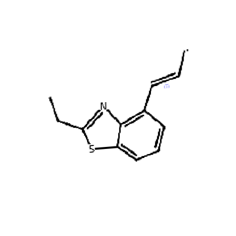 [CH2]/C=C/c1cccc2sc(CC)nc12